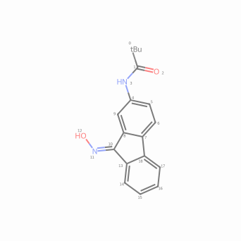 CC(C)(C)C(=O)Nc1ccc2c(c1)C(=NO)c1ccccc1-2